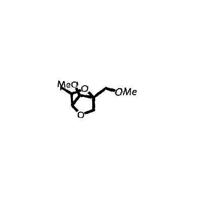 COCC12COC(C(I)O1)C2OC